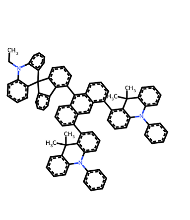 CCN1c2ccccc2C2(c3ccccc3-c3c(-c4c5cccc(-c6cccc7c6C(C)(C)c6ccccc6N7c6ccccc6)c5cc5c(-c6cccc7c6C(C)(C)c6ccccc6N7c6ccccc6)cccc45)cccc32)c2ccccc21